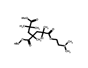 CCCCOC(=O)C(C)(CC(C)(C)C(=O)OC)CC(C)(CC)C(=O)OCCN(C)C